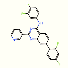 Fc1ccc(-c2ccc3c(Nc4ccc(F)c(F)c4)nc(-c4cccnc4)nc3c2)c(F)c1